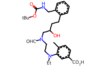 CCN(CCN(C=O)CC(O)CCc1ccccc1CNC(=O)OC(C)(C)C)c1cc(C(=O)O)ccc1C